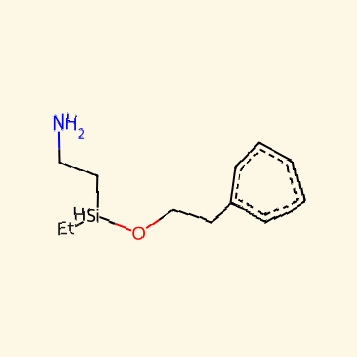 CC[SiH](CCN)OCCc1ccccc1